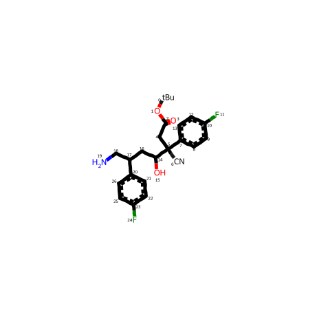 CC(C)(C)OC(=O)CC(C#N)(c1ccc(F)cc1)C(O)CC(CN)c1ccc(F)cc1